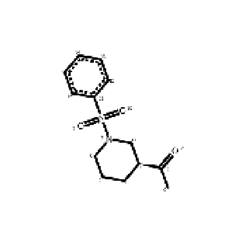 CC(=O)[C@H]1CCCN(S(=O)(=O)c2ccccc2)C1